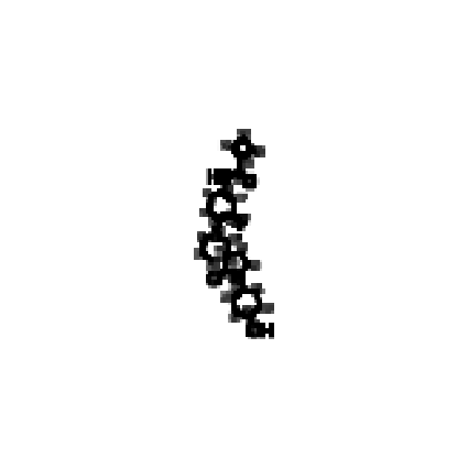 O=C(Nc1ccc(N2CCC[C@@]3(CCN(C4CCC(O)CC4)C3=O)C2)c(F)c1)C1CCC1